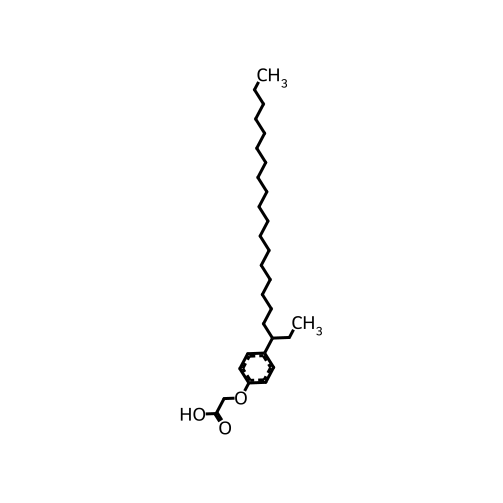 CCCCCCCCCCCCCCCCCCC(CC)c1ccc(OCC(=O)O)cc1